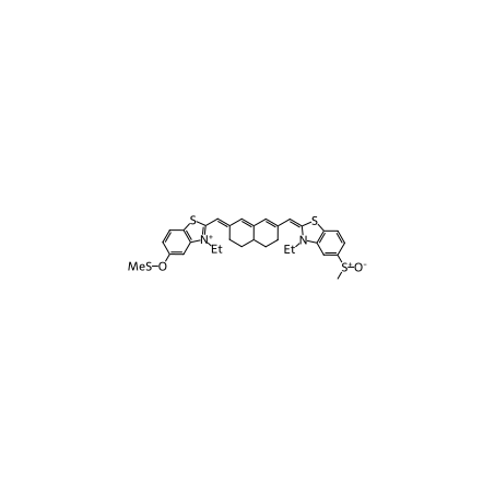 CCN1/C(=C\C2=CC3=C/C(=C/c4sc5ccc(OSC)cc5[n+]4CC)CCC3CC2)Sc2ccc([S+](C)[O-])cc21